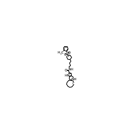 Cc1ccccc1S(=O)(=O)N1CCC(CCCCNC(=O)c2cc3c([nH]2)CC2(CCCCCCCCC2)NC3)CC1